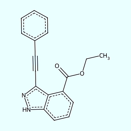 CCOC(=O)c1cccc2[nH]nc(C#Cc3ccccc3)c12